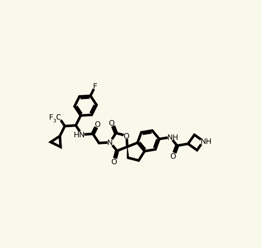 O=C(CN1C(=O)O[C@@]2(CCc3cc(NC(=O)C4CNC4)ccc32)C1=O)NC(c1ccc(F)cc1)C(C1CC1)C(F)(F)F